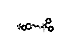 CS(=O)(=O)c1ccc2c(c1)CCN(CCCSc1nc(-c3ccccc3)c(-c3ccccc3)[nH]1)CC2